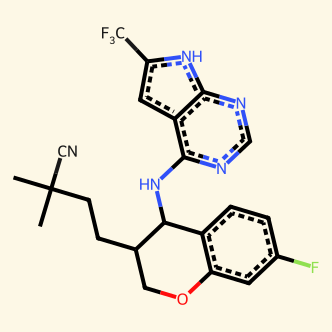 CC(C)(C#N)CCC1COc2cc(F)ccc2C1Nc1ncnc2[nH]c(C(F)(F)F)cc12